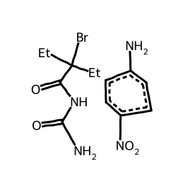 CCC(Br)(CC)C(=O)NC(N)=O.Nc1ccc([N+](=O)[O-])cc1